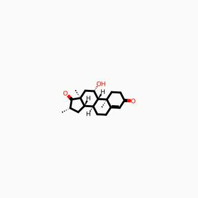 C[C@H]1C[C@H]2[C@@H]3CCC4=CC(=O)CC[C@]4(C)[C@H]3[C@@H](O)C[C@]2(C)C1=O